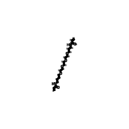 C=CC(=O)NCCCCOCCOCCOCCOCCCNC(=O)C=C